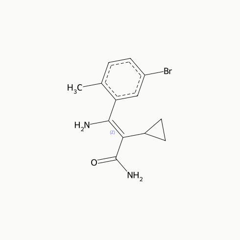 Cc1ccc(Br)cc1/C(N)=C(/C(N)=O)C1CC1